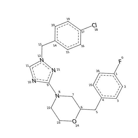 Fc1ccc(CC2CN(c3ncn(Cc4ccc(Cl)cc4)n3)CCO2)cc1